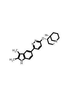 Cc1[nH]c2ccc(-c3ccc(O[C@H]4CC[N@@]5CCC[C@H]4C5)nn3)cc2c1C